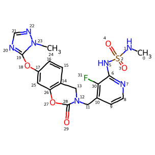 CNS(=O)(=O)Nc1nccc(CN2Cc3ccc(Oc4ncnn4C)cc3OC2=O)c1F